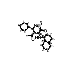 CC(=O)c1c(-c2ccccc2)nn(C)c(=O)c1Nc1cccc2ccccc12